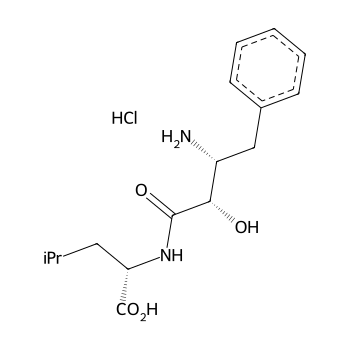 CC(C)C[C@H](NC(=O)[C@@H](O)[C@H](N)Cc1ccccc1)C(=O)O.Cl